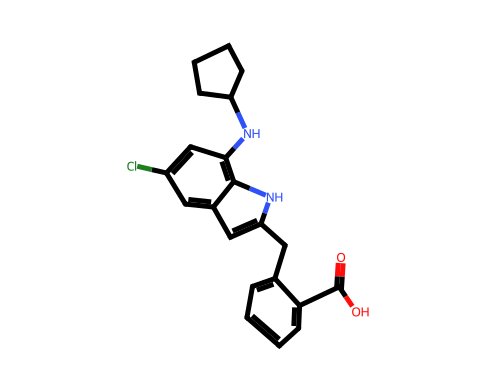 O=C(O)c1ccccc1Cc1cc2cc(Cl)cc(NC3CCCC3)c2[nH]1